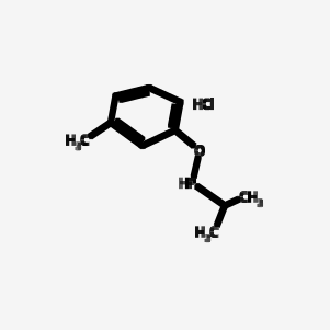 Cc1cccc(OPC(C)C)c1.Cl